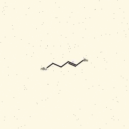 CCCCCC/C=C/C(C)CC